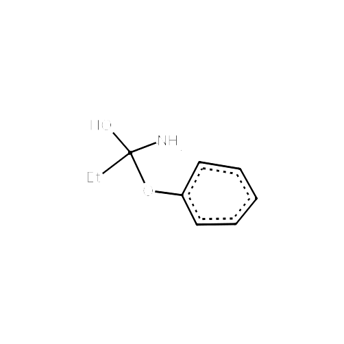 CCC(N)(O)Oc1[c]cccc1